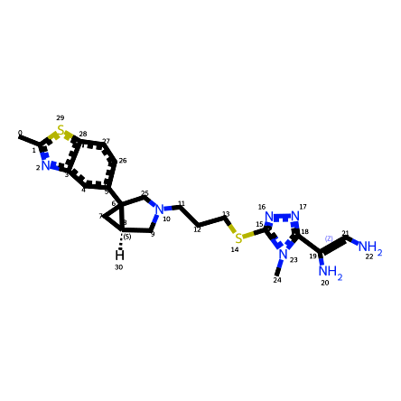 Cc1nc2cc(C34C[C@@H]3CN(CCCSc3nnc(/C(N)=C/N)n3C)C4)ccc2s1